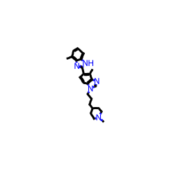 Cc1cccc2[nH]c(-c3ccc4c(ncn4CCCC4CCN(C)CC4)c3C)nc12